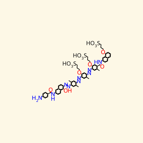 Cc1cc(N=Nc2ccc3cc(NC(=O)c4ccc(N)cc4)ccc3c2O)c(C)cc1N=Nc1cc(C)c(N=Nc2cc(C)c(C(=O)Nc3ccc4cccc(OCCCS(=O)(=O)O)c4c3)cc2OCCCS(=O)(=O)O)cc1OCCCS(=O)(=O)O